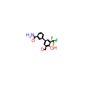 NC(=O)c1cccc(-c2cc(C=O)c(O)c(C(F)(F)F)c2)c1